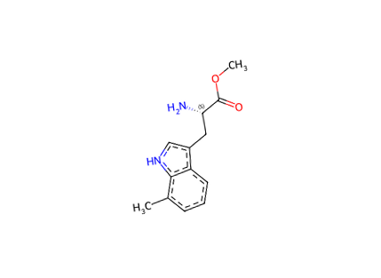 COC(=O)[C@@H](N)Cc1c[nH]c2c(C)cccc12